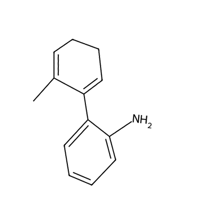 CC1=CCCC=C1c1ccccc1N